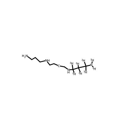 [2H]N([2H])C([2H])([2H])C([2H])([2H])C([2H])([2H])NCCCCNCCCN